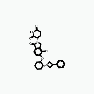 O=C1CC[C@H](N2Cc3c(ccc(O[C@@H]4CCCC[C@@H]4N4CC(c5ccccc5)C4)c3Cl)C2=O)C(=O)N1